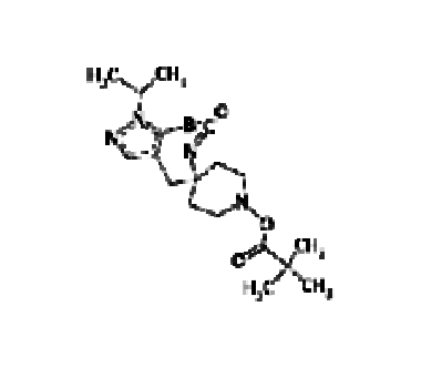 CC(C)n1ncc(CC2(N=C=O)CCN(OC(=O)C(C)(C)C)CC2)c1Br